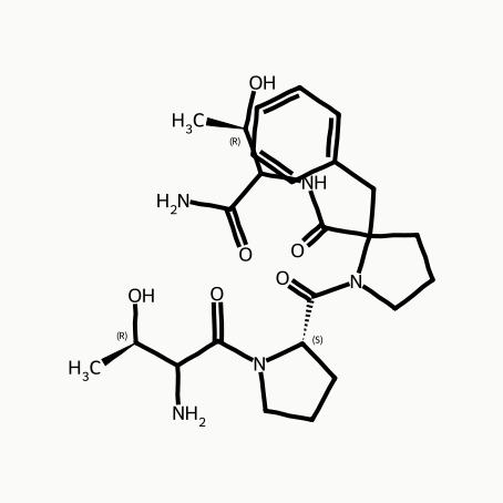 C[C@@H](O)C(N)C(=O)N1CCC[C@H]1C(=O)N1CCCC1(Cc1ccccc1)C(=O)NC(C(N)=O)[C@@H](C)O